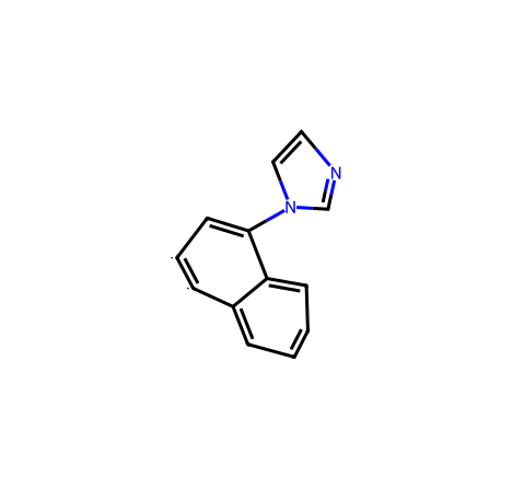 [c]1[c]c2ccccc2c(-n2ccnc2)c1